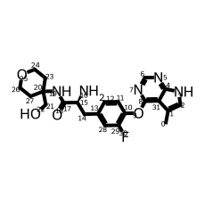 Cc1c[nH]c2ncnc(Oc3ccc(C[C@H](N)C(=O)NC4(CO)CCOCC4)cc3F)c12